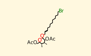 CC(=O)OCC1O[C@@H](OC/C=C/CCCCCCCCCBr)C(OC(C)=O)[C@@H](C)[C@H]1C